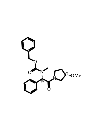 CO[C@H]1CCN(C(=O)[C@H](c2ccccc2)N(C)C(=O)OCc2ccccc2)C1